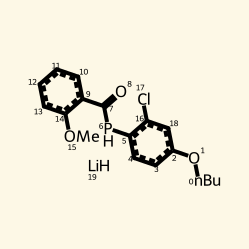 CCCCOc1ccc(PC(=O)c2ccccc2OC)c(Cl)c1.[LiH]